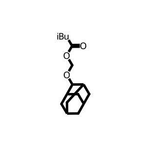 CCC(C)C(=O)OCOC1C2CC3CC(C2)CC1C3